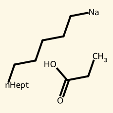 CCC(=O)O.CCCCCCCCCCC[CH2][Na]